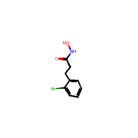 O=C(CCc1ccccc1Br)NO